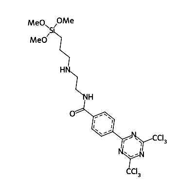 CO[Si](CCCNCCNC(=O)c1ccc(-c2nc(C(Cl)(Cl)Cl)nc(C(Cl)(Cl)Cl)n2)cc1)(OC)OC